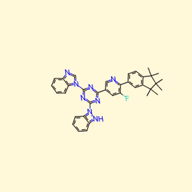 CC1(C)c2ccc(-c3ncc(-c4nc(-n5cnc6ccccc65)nc(-n5[nH]c6ccccc65)n4)cc3F)cc2C(C)(C)C1(C)C